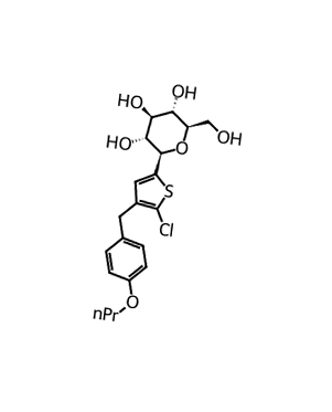 CCCOc1ccc(Cc2cc([C@@H]3O[C@H](CO)[C@@H](O)[C@H](O)[C@H]3O)sc2Cl)cc1